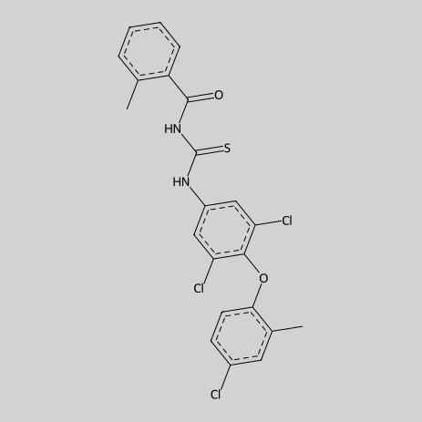 Cc1cc(Cl)ccc1Oc1c(Cl)cc(NC(=S)NC(=O)c2ccccc2C)cc1Cl